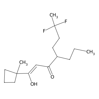 CCCC(CCC(C)(F)F)C(=O)/C=C(\O)C1(C)CCC1